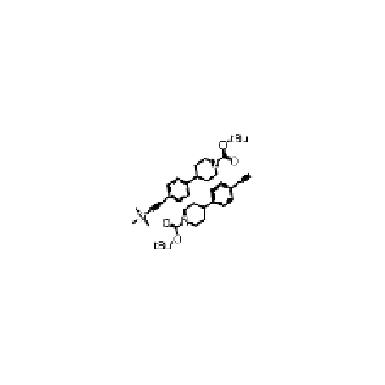 C#Cc1ccc(C2CCN(C(=O)OC(C)(C)C)CC2)cc1.CC(C)(C)OC(=O)N1CCC(c2ccc(C#C[Si](C)(C)C)cc2)CC1